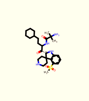 CC(C)(N)C(=O)NC(CCC1CCCCC1)C(=O)[C@@H]1Nc2cccc(S(C)(=O)=O)c2C12CCNCC2